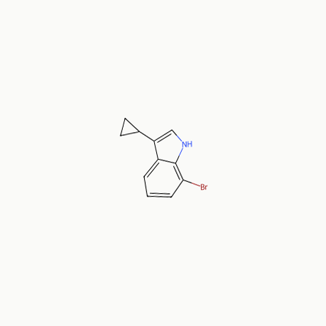 Brc1cccc2c(C3CC3)c[nH]c12